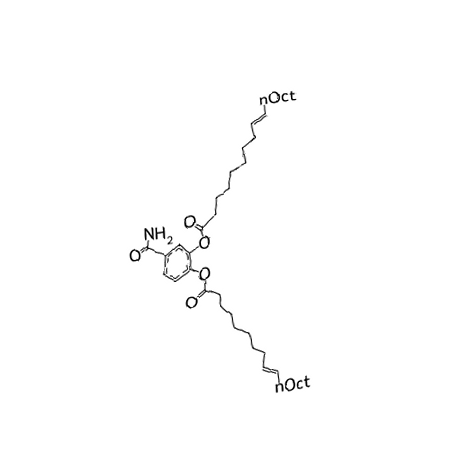 CCCCCCCCC=CCCCCCCCC(=O)Oc1ccc(C(N)=O)cc1OC(=O)CCCCCCCC=CCCCCCCCC